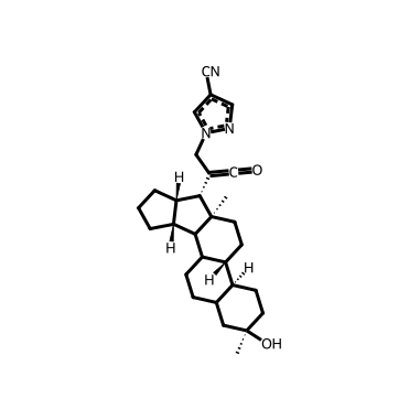 C[C@@]1(O)CC[C@H]2C(CCC3C4[C@@H]5CCC[C@@H]5[C@H](C(=C=O)Cn5cc(C#N)cn5)[C@@]4(C)CC[C@@H]32)C1